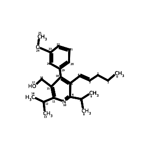 CCC/C=C/c1c(C(C)C)nc(C(C)C)c(CO)c1-c1cccc(OC)c1